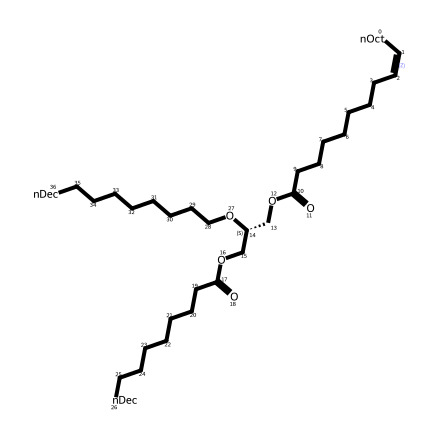 CCCCCCCC/C=C\CCCCCCCC(=O)OC[C@H](COC(=O)CCCCCCCCCCCCCCCCC)OCCCCCCCCCCCCCCCCCC